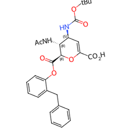 CC(=O)N[C@@H]1[C@@H](NC(=O)OC(C)(C)C)C=C(C(=O)O)O[C@H]1C(=O)Oc1ccccc1Cc1ccccc1